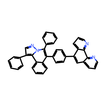 c1ccc(-c2cnn3c(-c4ccccc4)c(-c4ccc(-c5cc6cccnc6c6ncccc56)cc4)c4ccccc4c23)cc1